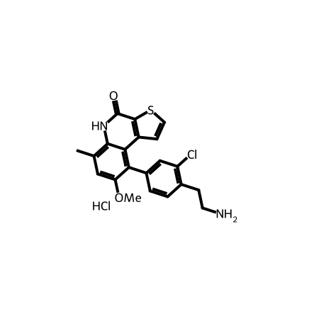 COc1cc(C)c2[nH]c(=O)c3sccc3c2c1-c1ccc(CCN)c(Cl)c1.Cl